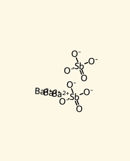 [Ba+2].[Ba+2].[Ba+2].[O]=[Sb]([O-])([O-])[O-].[O]=[Sb]([O-])([O-])[O-]